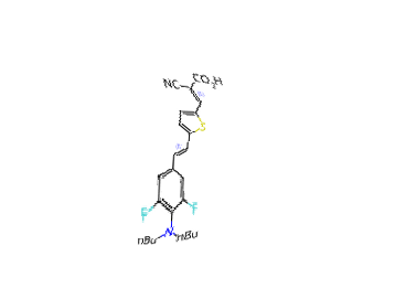 CCCCN(CCCC)c1c(F)cc(/C=C/c2ccc(/C=C(\C#N)C(=O)O)s2)cc1F